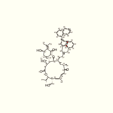 CC[C@H]1OC(=O)C[C@@H](O)[C@H](C)[C@@H](O[C@@H]2O[C@H](C)C(O)C(N(C)C)C2O)[C@@H](CCN(Cc2ccccc2)Cc2cn(-c3cccc4cnccc34)nn2)C[C@@H](C)C(=O)/C=C/C(C)=C/[C@@H]1CO